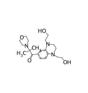 CC(C)(C(=O)c1ccc2c(c1)N(CCO)CCN2CCO)N1CCOCC1